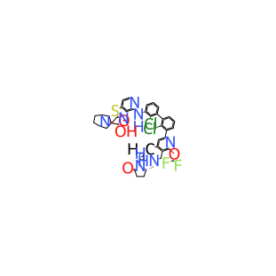 Cc1cc(-c2cccc(-c3cccc(Nc4nccc5sc(CN6C7CCC6CC(C(=O)O)C7)nc45)c3Cl)c2Cl)nc(OC(F)F)c1CNC[C@@H]1CCC(=O)N1